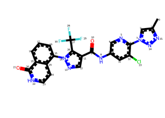 Cc1cn(-c2ncc(NC(=O)c3cnn(-c4cccc5c(=O)[nH]ccc45)c3C(F)(F)F)cc2Cl)nn1